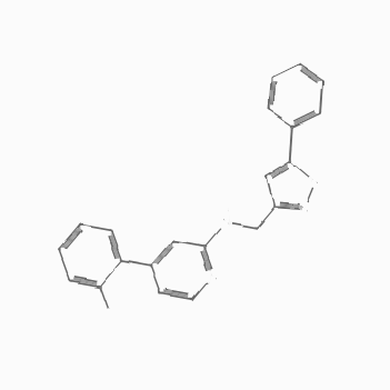 Cc1ccccc1-c1ccnc(NCc2cc(-c3ccccc3)[nH]n2)c1